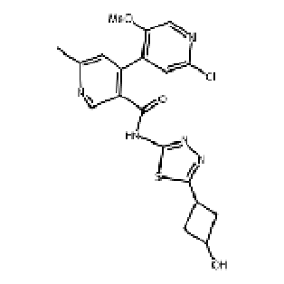 COc1cnc(Cl)cc1-c1cc(C)ncc1C(=O)Nc1nnc(C2CC(O)C2)s1